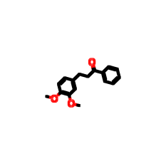 COc1ccc(CCC(=O)c2ccccc2)cc1OC